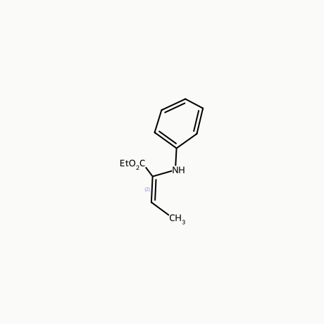 C/C=C(\Nc1ccccc1)C(=O)OCC